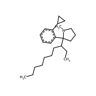 CCCCCCCC(CC)C1(c2ccccc2C2CC2)CCCN1C